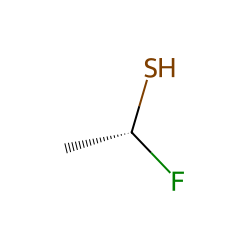 C[C@@H](F)S